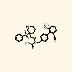 COc1cccc(C#N)c1-c1ccc(C[C@H](NCC2(S(=O)(=O)c3ccccc3)CCCNC2)C(=O)O)cc1